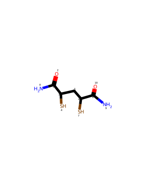 NC(=O)C(S)CC(S)C(N)=O